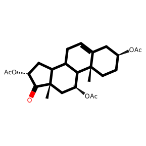 CC(=O)O[C@H]1CC[C@@]2(C)C(=CCC3C2[C@@H](OC(C)=O)C[C@]2(C)C(=O)[C@H](OC(C)=O)CC32)C1